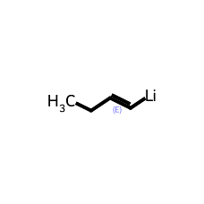 [Li]/[CH]=C/CC